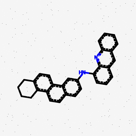 c1ccc2nc3c(Nc4ccc5ccc6c7c(ccc6c5c4)CCCC7)cccc3cc2c1